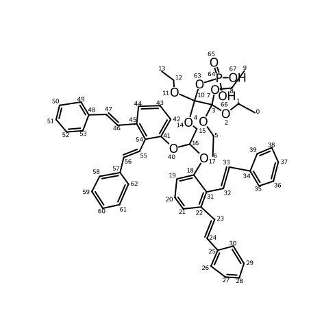 CCOC(OCC)(OCC)C(OCC)(OCC(Oc1cccc(C=Cc2ccccc2)c1C=Cc1ccccc1)Oc1cccc(C=Cc2ccccc2)c1C=Cc1ccccc1)OP(=O)(O)O